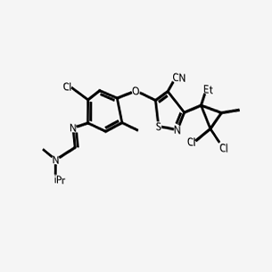 CCC1(c2nsc(Oc3cc(Cl)c(N=CN(C)C(C)C)cc3C)c2C#N)C(C)C1(Cl)Cl